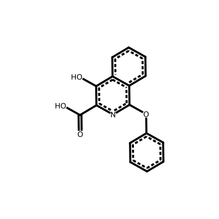 O=C(O)c1nc(Oc2ccccc2)c2ccccc2c1O